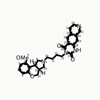 COc1cccc2c1[C@@H]1CN(CCCCn3c(=O)[nH]c4cc5cnccc5cc4c3=O)C[C@@H]1CO2